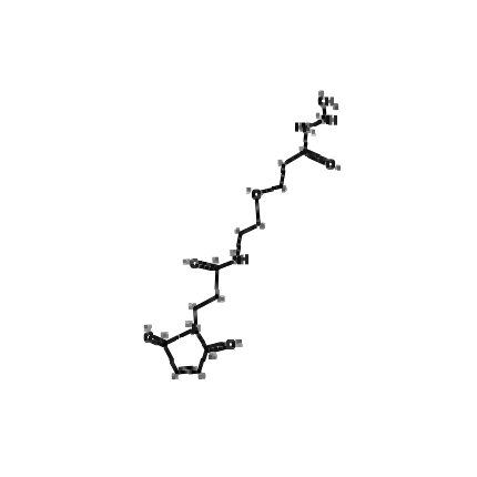 CNNC(=O)CCOCCNC(=O)CCN1C(=O)C=CC1=O